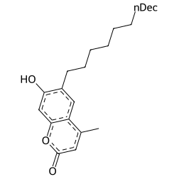 CCCCCCCCCCCCCCCCc1cc2c(C)cc(=O)oc2cc1O